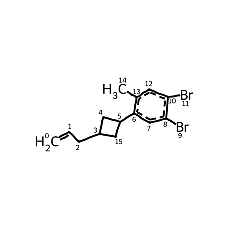 C=CCC1CC(c2cc(Br)c(Br)cc2C)C1